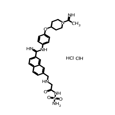 CC(=N)N1CCC(Oc2ccc(NC(=N)c3ccc4ccc(CNCC(=O)NS(N)(=O)=O)cc4c3)cc2)CC1.Cl.Cl